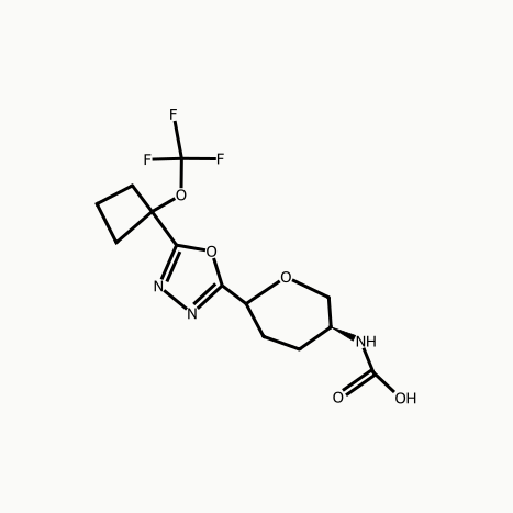 O=C(O)N[C@H]1CCC(c2nnc(C3(OC(F)(F)F)CCC3)o2)OC1